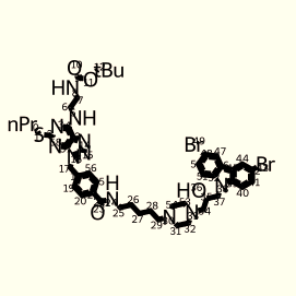 CCCSc1nc(NCCNC(=O)OC(C)(C)C)c2nnn(Cc3ccc(C(=O)NCCCCCN4CCN(CC(O)Cn5c6ccc(Br)cc6c6cc(Br)ccc65)CC4)cc3)c2n1